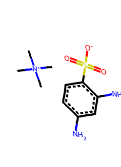 C[N+](C)(C)C.Nc1ccc(S(=O)(=O)[O-])c(N)c1